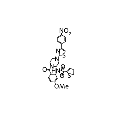 COc1ccc(C(=O)N2CCN(c3nc(-c4ccc([N+](=O)[O-])cc4)cs3)CC2)c(NS(=O)(=O)c2cccs2)c1